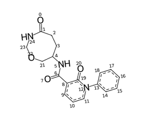 O=C1CCC(NC(=O)c2cccn(-c3ccccc3)c2=O)COCN1